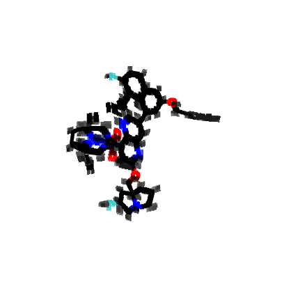 C#Cc1c(F)ccc2cc(OCOC)cc(-c3cnc4c(N5C[C@H]6CC[C@@H](C5)N6C(=O)OC(C)(C)C)cc(OC[C@@]56CCCN5C[C@H](F)C6)nc4c3)c12